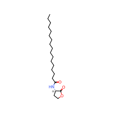 CCCCCCCCCCCCCCCCC(=O)N[C@H]1CCOC1=O